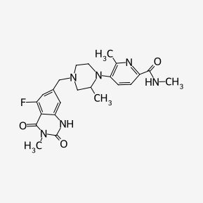 CNC(=O)c1ccc(N2CCN(Cc3cc(F)c4c(=O)n(C)c(=O)[nH]c4c3)CC2C)c(C)n1